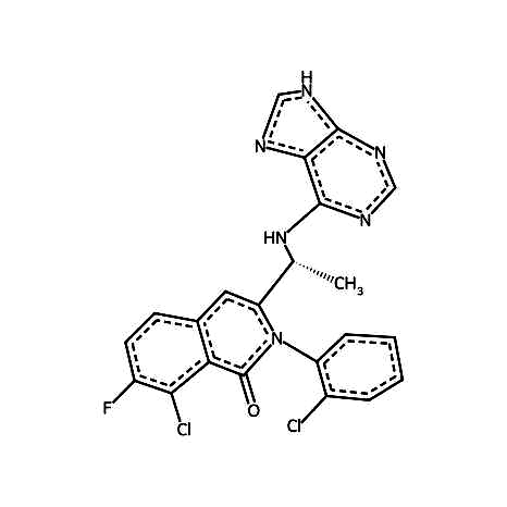 C[C@@H](Nc1ncnc2[nH]cnc12)c1cc2ccc(F)c(Cl)c2c(=O)n1-c1ccccc1Cl